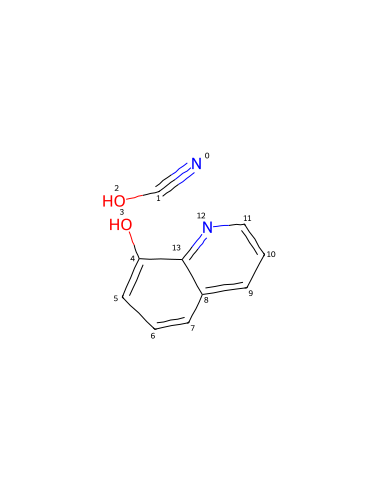 N#CO.Oc1cccc2cccnc12